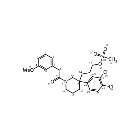 COc1cccc(CC(=O)N2CCCC(CCCOS(C)(=O)=O)(c3ccc(Cl)c(Cl)c3)C2)c1